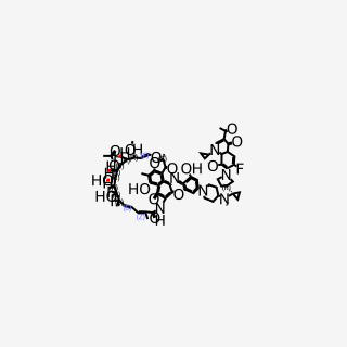 COC1=C(N2CC[C@@H](C3(N(C)C4CCN(c5cc(O)c6nc7c8c9c%10c(C)c(O)c8c(=O)c(c-7oc6c5)NC(=O)/C(C)=C\C=C\[C@H](C)[C@H](O)[C@@H](C)[C@@H](O)[C@@H](C)[C@H](OC(C)=O)[C@H](C)[C@@H](OC)/C=C/O[C@@](C)(O%10)C9=O)CC4)CC3)C2)C(F)=CC2C(=O)C(C(C)=O)=CN(C3CC3)C12